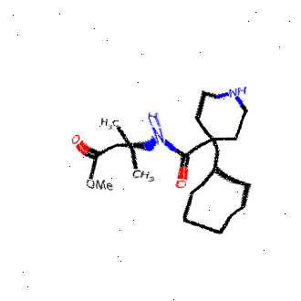 COC(=O)C(C)(C)NC(=O)C1(C2CCCCC2)CCNCC1